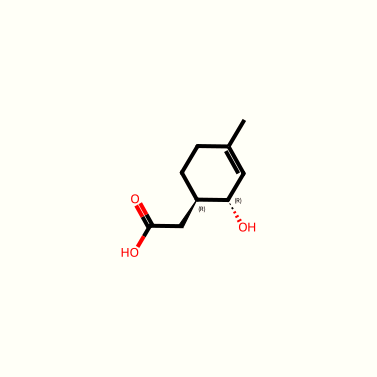 CC1=C[C@H](O)[C@@H](CC(=O)O)CC1